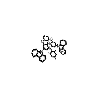 Cc1cc(C)c(B2c3cc(-n4c5ccccc5c5ccccc54)cc4c3N3c5c(cccc5Oc5cc(-n6c7ccccc7c7ccccc76)cc2c53)O4)c(C)c1